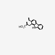 C=Cc1ccc2c([nH]c3ccccc32)c1CC(=C)C(=O)O